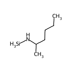 CCCCC(C)N[SiH3]